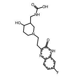 O=C(O)NCC1CN(CCc2nc3ccc(F)cc3[nH]c2=O)CCC1O